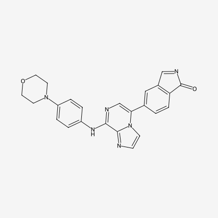 O=C1N=Cc2cc(-c3cnc(Nc4ccc(N5CCOCC5)cc4)c4nccn34)ccc21